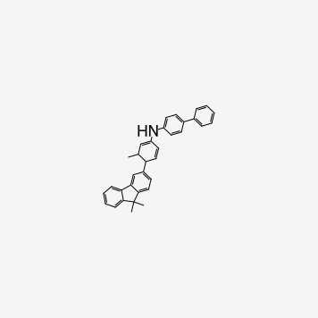 CC1C=C(Nc2ccc(-c3ccccc3)cc2)C=CC1c1ccc2c(c1)-c1ccccc1C2(C)C